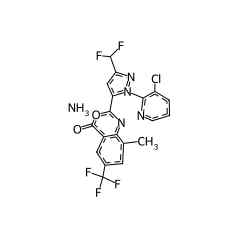 Cc1cc(C(F)(F)F)cc2c(=O)oc(-c3cc(C(F)F)nn3-c3ncccc3Cl)nc12.N